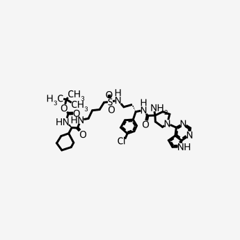 CC(C)(C)OC(=O)N[C@@H](C(=O)NCCCCS(=O)(=O)NCC[C@H](NC(=O)C1(N)CCN(c2ncnc3[nH]ccc23)CC1)c1ccc(Cl)cc1)C1CCCCC1